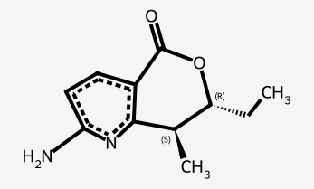 CC[C@H]1OC(=O)c2ccc(N)nc2[C@@H]1C